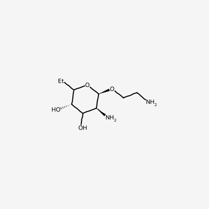 CCC1O[C@@H](OCCN)[C@@H](N)C(O)[C@@H]1O